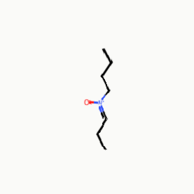 CCC=[N+]([O-])CCCC